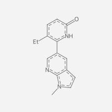 CCc1ccc(=O)[nH]c1-c1cnc2c(ccn2C)c1